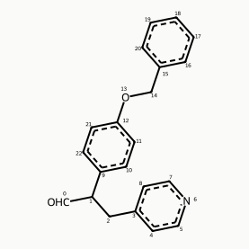 O=CC(Cc1ccncc1)c1ccc(OCc2ccccc2)cc1